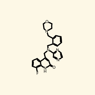 O=c1cc(CN(Cc2ccccc2CN2CCOCC2)c2cnccn2)c2cccc(F)c2[nH]1